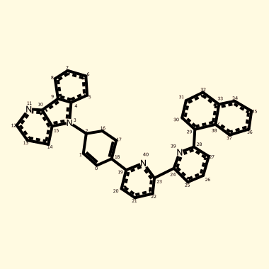 C1=CC(n2c3ccccc3c3ncccc32)CC=C1c1cccc(-c2cccc(-c3cccc4ccccc34)n2)n1